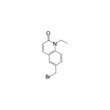 CCn1c(=O)ccc2cc(CBr)ccc21